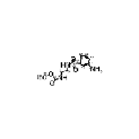 CC(C)(C)OC(=O)NCCNS(=O)(=O)c1cccc(N)c1